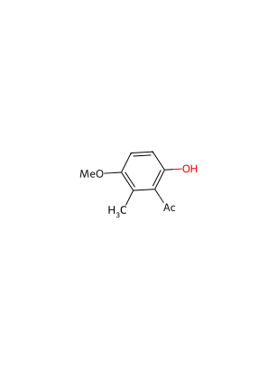 COc1ccc(O)c(C(C)=O)c1C